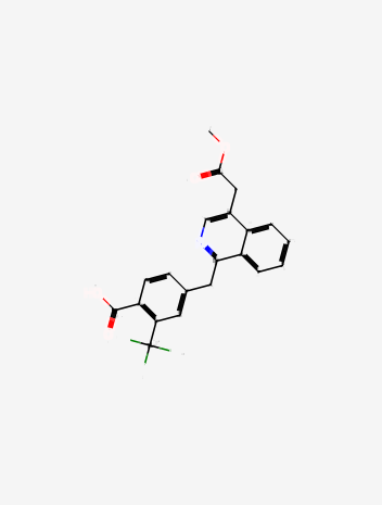 COC(=O)Cc1cnc(Cc2ccc(C(=O)O)c(C(F)(F)F)c2)c2ccccc12